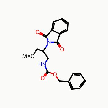 COCC(CNC(=O)OCc1ccccc1)N1C(=O)c2ccccc2C1=O